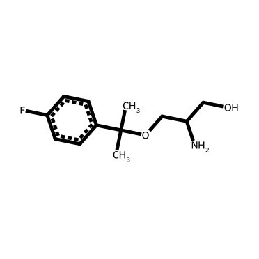 CC(C)(OCC(N)CO)c1ccc(F)cc1